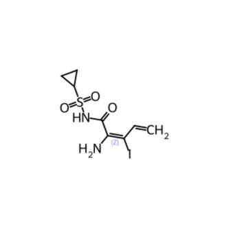 C=C/C(I)=C(/N)C(=O)NS(=O)(=O)C1CC1